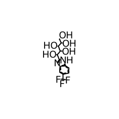 OCC(O)[C@@H](O)C(O)C(O)c1nc2cc(C(F)(F)F)ccc2[nH]1